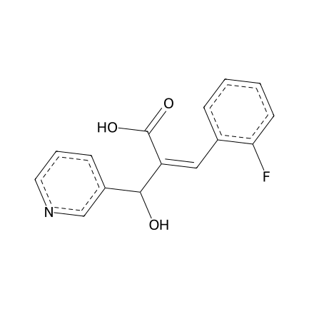 O=C(O)C(=Cc1ccccc1F)C(O)c1cccnc1